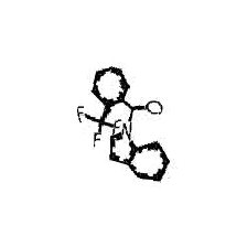 O=C(c1ccccc1C(F)(F)F)n1ccc2ccccc21